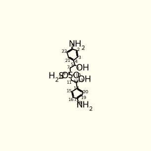 Nc1ccc(C(O)CS(=O)(=O)CC(O)c2ccc(N)cc2)cc1.S